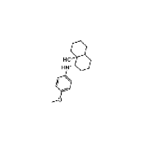 COc1ccc(N[C@H]2CCCC3CCCCC32O)cc1